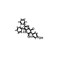 O=c1c(-c2ccc(O)cc2)c(O)[nH]c2c(-c3ccccc3)c(-c3ccccc3)nn12